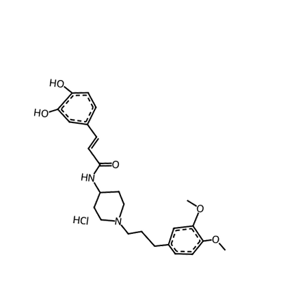 COc1ccc(CCCN2CCC(NC(=O)C=Cc3ccc(O)c(O)c3)CC2)cc1OC.Cl